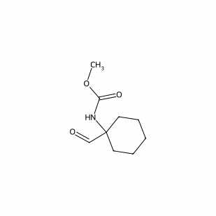 COC(=O)NC1(C=O)CCCCC1